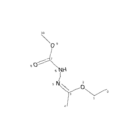 CCO/C(C)=N\NC(=O)OC